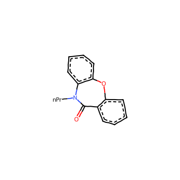 CCCN1C(=O)c2ccccc2Oc2ccccc21